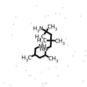 CC(CN)CC(C)NCC(C)(C)CC(C)(C)N